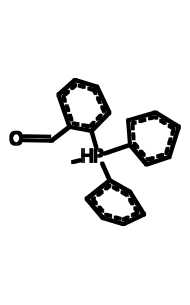 C[PH](c1ccccc1)(c1ccccc1)c1ccccc1C=O